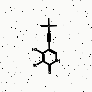 C[Si](C)(C)C#Cc1c[nH]c(=O)c(C#N)c1O